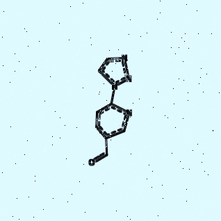 O=Cc1ccc(-n2ccnn2)nc1